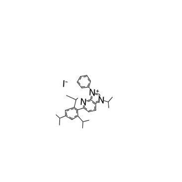 CC(C)c1cc(C(C)C)c(-c2ccc3c(n2)[n+](-c2ccccc2)cn3C(C)C)c(C(C)C)c1.[I-]